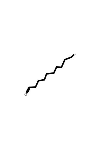 [CH2]CCCCCCCCC[C]=O